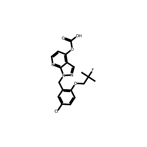 CC(C)(F)COc1ccc(Cl)cc1Cn1ncc2c(OC(=O)O)ccnc21